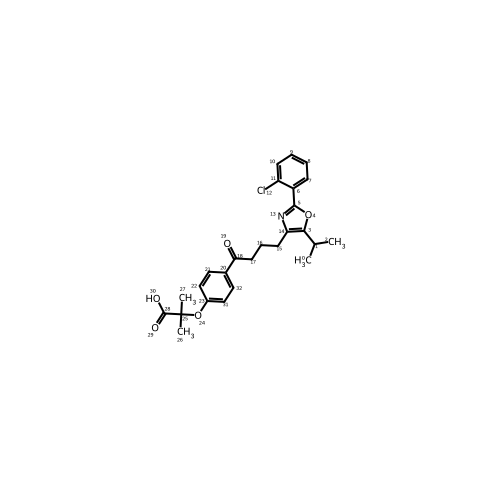 CC(C)c1oc(-c2ccccc2Cl)nc1CCCC(=O)c1ccc(OC(C)(C)C(=O)O)cc1